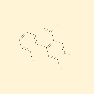 O=C(O)c1cc(F)c(Br)cc1-c1ccccc1O